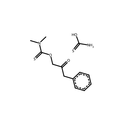 CN(C)C(=S)OCC(=O)Cc1ccccc1.NC(O)=S